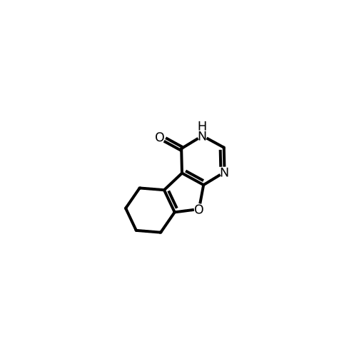 O=c1[nH]cnc2oc3c(c12)CCCC3